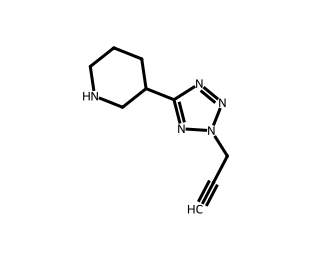 C#CCn1nnc(C2CCCNC2)n1